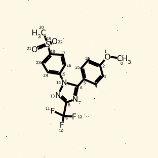 COc1ccc(-c2nc(C(F)(F)F)nn2-c2ccc(S(C)(=O)=O)cc2)cc1